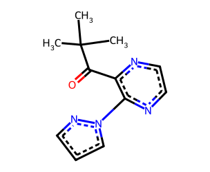 CC(C)(C)C(=O)c1nccnc1-n1cccn1